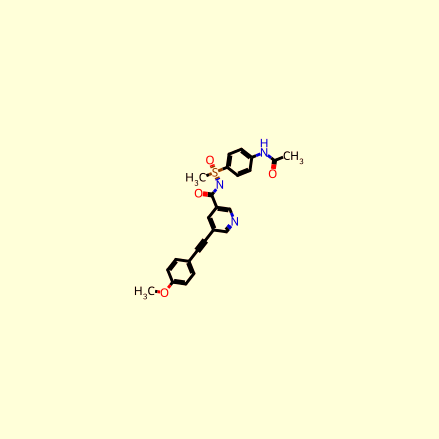 COc1ccc(C#Cc2cncc(C(=O)N=S(C)(=O)c3ccc(NC(C)=O)cc3)c2)cc1